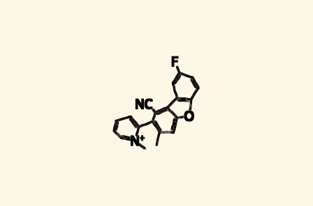 Cc1cc2oc3ccc(F)cc3c2c(C#N)c1-c1cccc[n+]1C